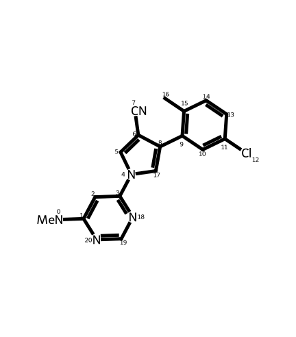 CNc1cc(-n2cc(C#N)c(-c3cc(Cl)ccc3C)c2)ncn1